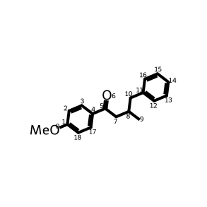 COc1ccc(C(=O)CC(C)Cc2ccccc2)cc1